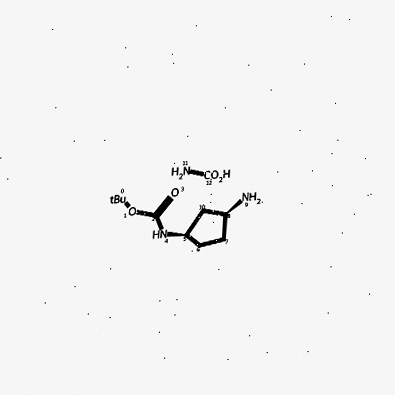 CC(C)(C)OC(=O)N[C@@H]1CC[C@H](N)C1.NC(=O)O